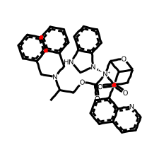 CC(COC(=O)[N@+]1(N2CNc3ccccc32)CCC2OC1C2S(=O)(=O)c1cccc2cccnc12)N(Cc1ccccc1)Cc1ccccc1